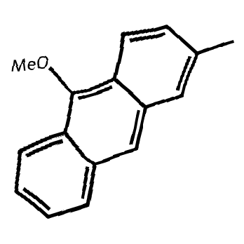 COc1c2ccccc2cc2cc(C)ccc12